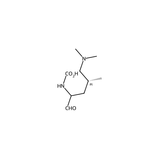 C[C@H](CC(C=O)NC(=O)O)CN(C)C